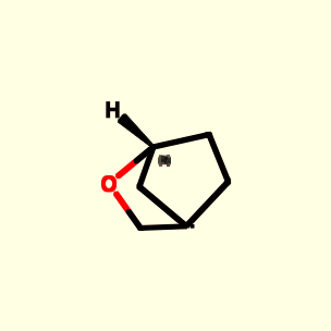 C1C[C@@H]2C[C]1CO2